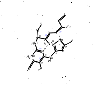 C=C/C(F)=C\C=C(/N)[C@H](CC)N/C(N)=N/C(Nc1cc(C)[nH]n1)=C(/F)C=C